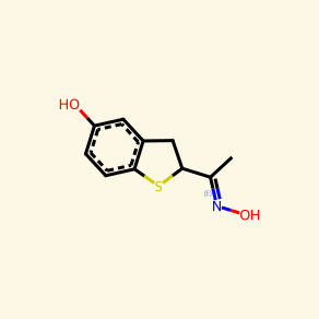 C/C(=N\O)C1Cc2cc(O)ccc2S1